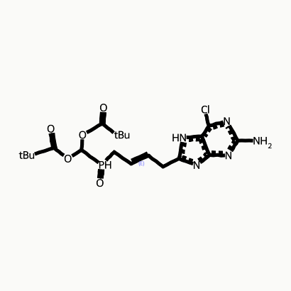 CC(C)(C)C(=O)OC(OC(=O)C(C)(C)C)[PH](=O)C/C=C/Cc1nc2nc(N)nc(Cl)c2[nH]1